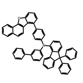 c1ccc(-c2cccc(N(c3ccc(-c4cccc5oc6c7ccccc7ccc6c45)cc3)c3cccc4c3-c3ccccc3C4(c3ccccc3)c3ccccc3)c2)cc1